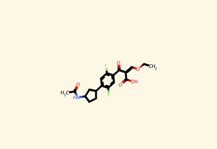 CCOC=C(C(=O)O)C(=O)c1cc(F)c(C2CCC(NC(C)=O)C2)cc1F